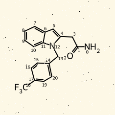 NC(=O)Cc1cc2ccccc2n1Cc1ccc(C(F)(F)F)cc1